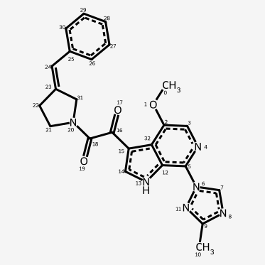 COc1cnc(-n2cnc(C)n2)c2[nH]cc(C(=O)C(=O)N3CCC(=Cc4ccccc4)C3)c12